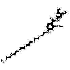 CCCc1sc(NC(=O)c2ccc(NCCOCCOCCOCCOCCOCCN)cc2NC(C)=O)nc1C